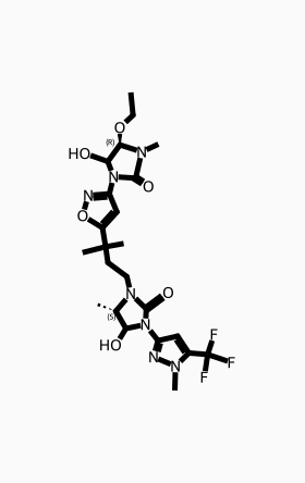 CCO[C@@H]1C(O)N(c2cc(C(C)(C)CCN3C(=O)N(c4cc(C(F)(F)F)n(C)n4)C(O)[C@@H]3C)on2)C(=O)N1C